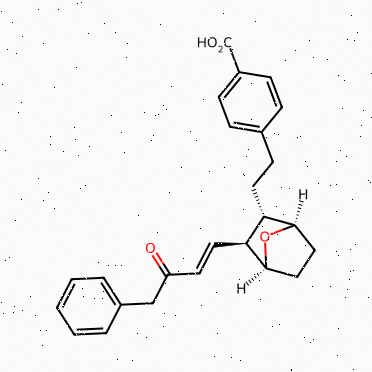 O=C(/C=C/[C@H]1[C@H](CCc2ccc(C(=O)O)cc2)[C@H]2CC[C@@H]1O2)Cc1ccccc1